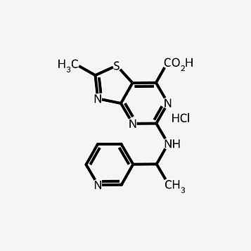 Cc1nc2nc(NC(C)c3cccnc3)nc(C(=O)O)c2s1.Cl